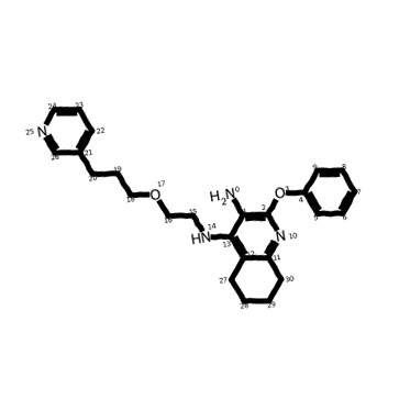 Nc1c(Oc2ccccc2)nc2c(c1NCCOCCCc1cccnc1)CCCC2